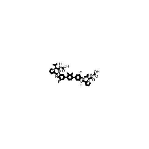 Cc1c(-c2cc(F)c3nc(C4CCCN4[C@H](C(=O)NC(=O)O)C(C)C)[nH]c3c2)ccc(-c2cc(F)c3nc(C4CCCN4[C@H](C(=O)NC(=O)O)C(C)C)[nH]c3c2)c1C